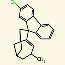 CC1C=C2C3CC(C1)CC3C21c2ccccc2-c2ccc(Cl)cc21